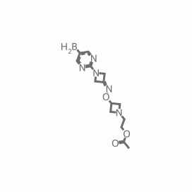 Bc1cnc(N2CC(=NOC3CN(CCOC(C)=O)C3)C2)nc1